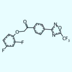 O=C(COc1ccc(F)cc1F)c1ccc(-c2noc(C(F)(F)F)n2)cc1